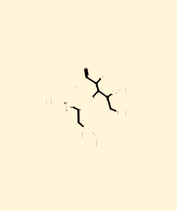 C[N+](C)(C)CCO.O.O=CC(O)C(O)C(O)CO.[Cl-]